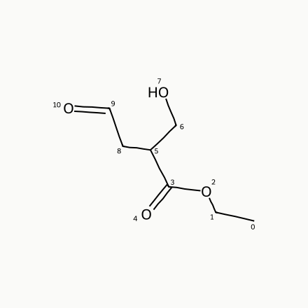 CCOC(=O)C(CO)CC=O